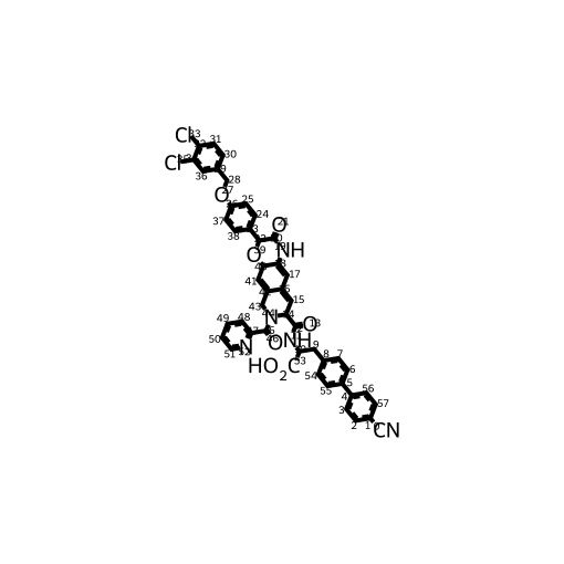 N#Cc1ccc(-c2ccc(CC(NC(=O)C3C=C4C=C5NC(=O)C(c6ccc(OCc7ccc(Cl)c(Cl)c7)cc6)OC5C=C4CN3C(=O)c3ccccn3)C(=O)O)cc2)cc1